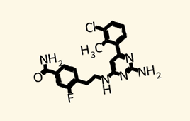 Cc1c(Cl)cccc1-c1cc(NCCc2ccc(C(N)=O)cc2F)nc(N)n1